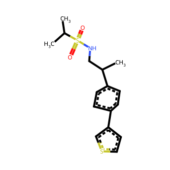 CC(CNS(=O)(=O)C(C)C)c1ccc(-c2ccsc2)cc1